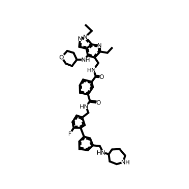 CCc1nc2c(cnn2CC)c(NC2CCOCC2)c1CNC(=O)c1cccc(C(=O)NCc2ccc(F)c(-c3cccc(CNC4CCCNCC4)c3)c2)c1